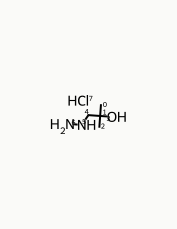 CC(C)(O)CNN.Cl